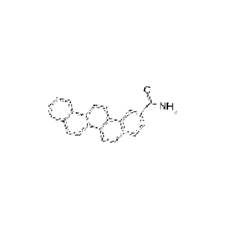 NC(=O)c1ccc2ccc3c(ccc4c5ccccc5ccc43)c2c1